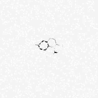 CC1CCc2cc(Br)ccc2N1C(=O)C(F)(F)F